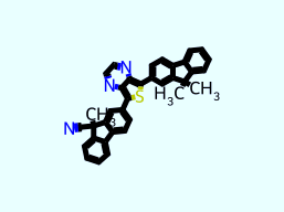 CC1(C)c2ccccc2-c2ccc(-c3sc(-c4ccc5c(c4)C(C)(C#N)c4ccccc4-5)c4nccnc34)cc21